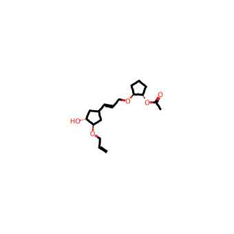 C=CCO[C@@H]1CC(/C=C/CO[C@H]2CCC[C@@H]2OC(C)=O)C[C@H]1O